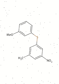 COc1cccc(Sc2cc(C)cc([N+](=O)[O-])c2)c1